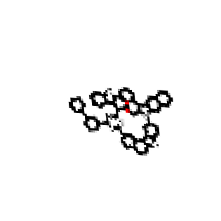 c1ccc(-c2cccc(-c3nc(-c4ccc5ccc6oc7ccc(-n8c9cc%10ccccc%10cc9c9c%10ccccc%10ccc98)cc7c6c5c4)nc(-c4cccc5oc6ccccc6c45)n3)c2)cc1